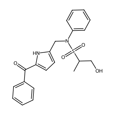 CC(CO)S(=O)(=O)N(Cc1ccc(C(=O)c2ccccc2)[nH]1)c1ccccc1